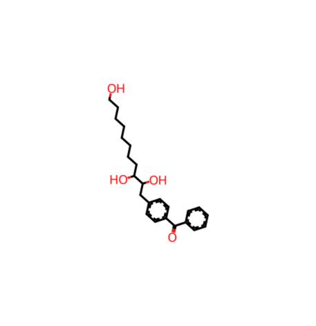 O=C(c1ccccc1)c1ccc(CC(O)C(O)CCCCCCCCO)cc1